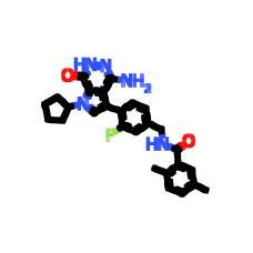 Cc1ccc(C)c(C(=O)NCc2ccc(-c3cn(C4CCCC4)c4c(=O)[nH]nc(N)c34)c(F)c2)c1